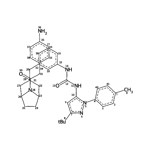 Cc1ccc(-n2nc(C(C)(C)C)cc2NC(=O)Nc2cccc(CC3CC4CCC(C3)N4C(=O)Cc3ccc(N)cc3)c2)cc1